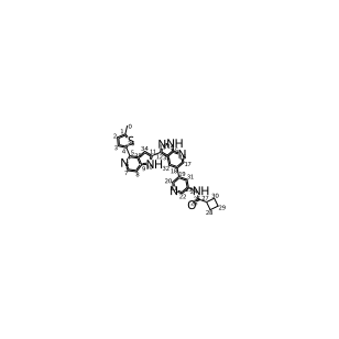 Cc1ccc(-c2nccc3[nH]c(-c4n[nH]c5ncc(-c6cncc(NC(=O)C7CCC7)c6)cc45)cc23)s1